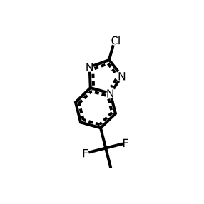 CC(F)(F)c1ccc2nc(Cl)nn2c1